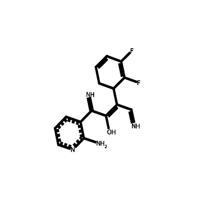 N=C/C(=C(\O)C(=N)c1cccnc1N)C1CC=CC(F)=C1F